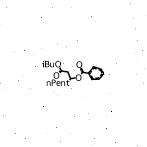 CCCCCC(CC(=O)OCC(C)C)OC(=O)c1ccccc1